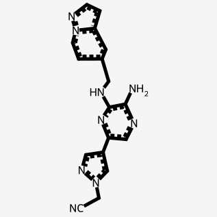 N#CCn1cc(-c2cnc(N)c(NCc3ccn4nccc4c3)n2)cn1